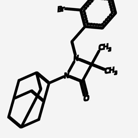 CC1(C)C(=O)N(C2C3CC4CC(C3)CC2C4)N1Cc1ccccc1Br